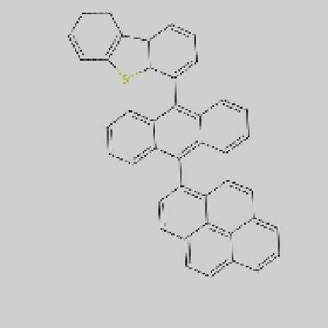 C1=CC2C3=C(C=CCC3)SC2C(c2c3ccccc3c(-c3ccc4ccc5cccc6ccc3c4c56)c3ccccc23)=C1